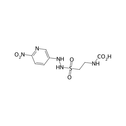 O=C(O)NCCS(=O)(=O)NNc1ccc([N+](=O)[O-])nc1